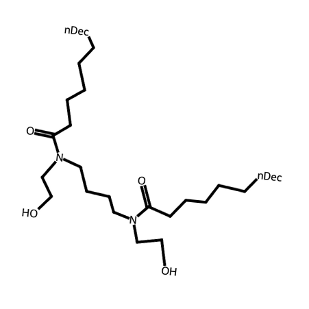 CCCCCCCCCCCCCCCC(=O)N(CCO)CCCCN(CCO)C(=O)CCCCCCCCCCCCCCC